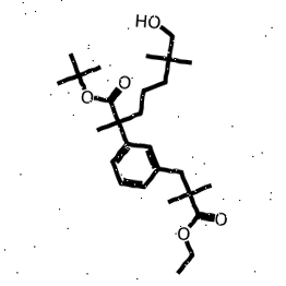 CCOC(=O)C(C)(C)Cc1cccc(C(C)(CCCC(C)(C)CO)C(=O)OC(C)(C)C)c1